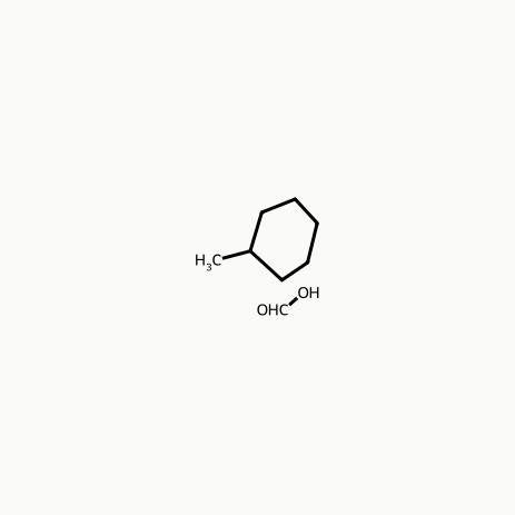 CC1CCCCC1.O=CO